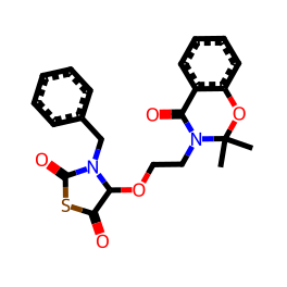 CC1(C)Oc2ccccc2C(=O)N1CCOC1C(=O)SC(=O)N1Cc1ccccc1